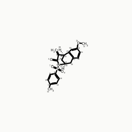 C=C1C(=O)N(S(=O)(=O)c2ccc(C)cc2)[C@@H]2Cc3ccc(OC)cc3[C@H]1C2